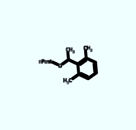 CCCCCOC(C)c1c(C)cccc1C